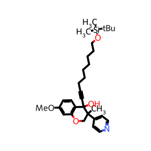 COc1ccc2c(c1)OCC(C)(c1ccncc1)C2(O)C#CCCCCCCCO[Si](C)(C)C(C)(C)C